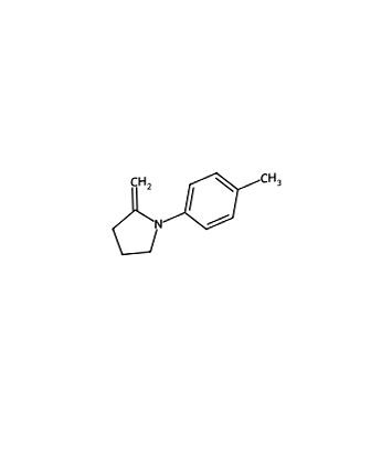 C=C1CCCN1c1ccc(C)cc1